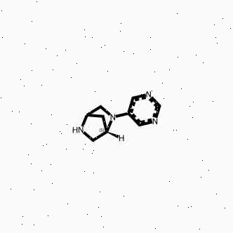 c1ncc(N2CC3C[C@H]2CN3)cn1